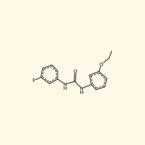 CCOc1cccc(NC(=O)Nc2cccc(F)c2)c1